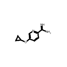 N=C(N)c1ccc(OC2CC2)cn1